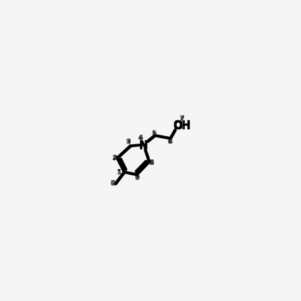 CC1=CCN(CCO)C=C1